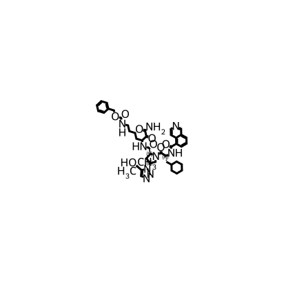 CC(C)(O)c1cnnn1[C@H]1C[C@@H](C(=O)NC(CCCCNC(=O)OCc2ccccc2)C(=O)C(N)=O)N(C(=O)[C@@H](CC2CCCCC2)NC(=O)c2cccc3cnccc23)C1